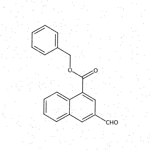 O=Cc1cc(C(=O)OCc2ccccc2)c2ccccc2c1